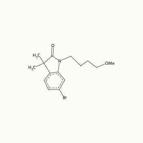 COCCCCN1C(=O)C(C)(C)c2ccc(Br)cc21